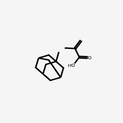 C=C(C)C(=O)O.CC12CC3CC(CC(C3)C1)C2